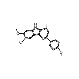 COc1ccc(-c2cc(C)c3[nH]c4cc(OC)c(Cl)cc4c3n2)cc1